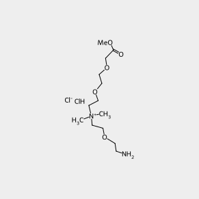 COC(=O)COCCOCC[N+](C)(C)CCOCCN.Cl.[Cl-]